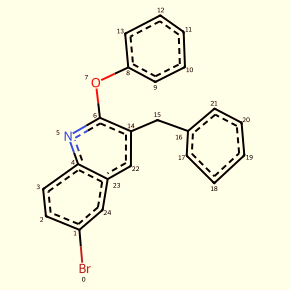 Brc1ccc2nc(Oc3ccccc3)c(Cc3ccccc3)cc2c1